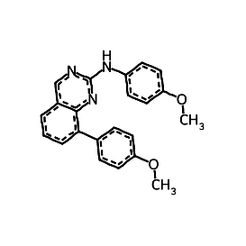 COc1ccc(Nc2ncc3cccc(-c4ccc(OC)cc4)c3n2)cc1